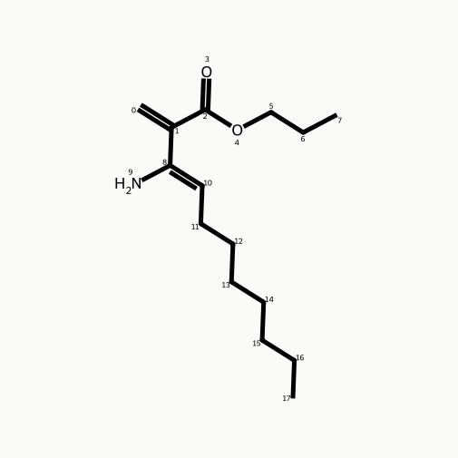 C=C(C(=O)OCCC)C(N)=CCCCCCCC